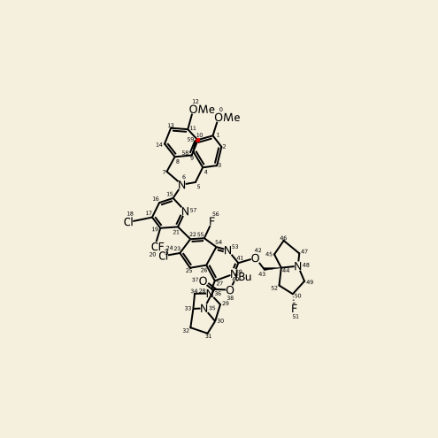 COc1ccc(CN(Cc2ccc(OC)cc2)c2cc(Cl)c(C(F)(F)F)c(-c3c(Cl)cc4c(N5CC6CCC(C5)N6C(=O)OC(C)(C)C)nc(OC[C@@]56CCCN5C[C@H](F)C6)nc4c3F)n2)cc1